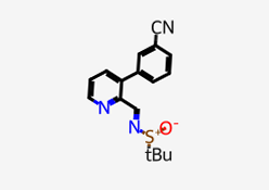 CC(C)(C)[S+]([O-])N=Cc1ncccc1-c1cccc(C#N)c1